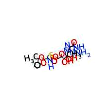 C[C@H](OC(=O)[C@H]1CS[P@](=O)(OCC2O[C@@H](n3cnc4c(=O)[nH]c(N)nc43)[C@](C)(O)[C@@H]2O)N1)c1ccccc1